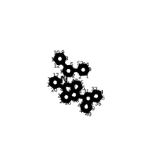 c1ccc(-c2cc(-c3ccccc3)cc(-n3c4ccccc4c4c5cccc6cc(-c7cc8ccccc8c8ccccc78)c7cccc(c7c65)c43)c2)cc1